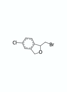 Clc1ccc2c(c1)COC2CBr